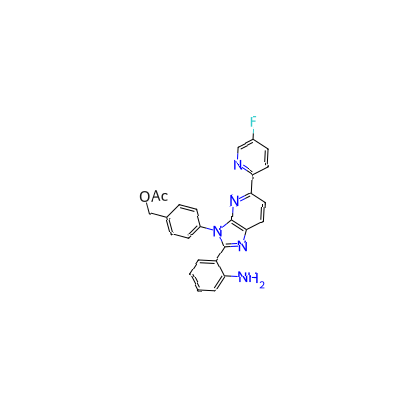 CC(=O)OCc1ccc(-n2c(-c3ccccc3N)nc3ccc(-c4ccc(F)cn4)nc32)cc1